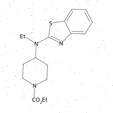 CCOC(=O)N1CCC(N(CC)c2nc3ccccc3s2)CC1